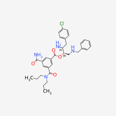 CCCN(CCC)C(=O)c1cc(C(N)=O)cc(C(=O)O[C@H](CNCc2ccccc2)[C@@H](N)Cc2ccc(Cl)cc2)c1